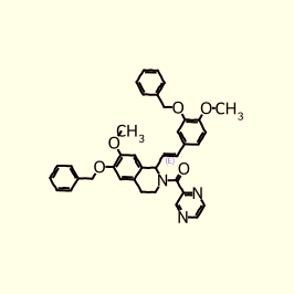 COc1ccc(/C=C/C2c3cc(OC)c(OCc4ccccc4)cc3CCN2C(=O)c2cnccn2)cc1OCc1ccccc1